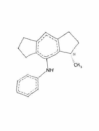 C[C@H]1CCc2cc3c(c(Nc4ccccc4)c21)CCC3